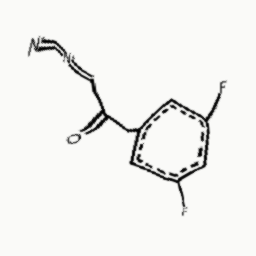 [N-]=[N+]=CC(=O)c1cc(F)cc(F)c1